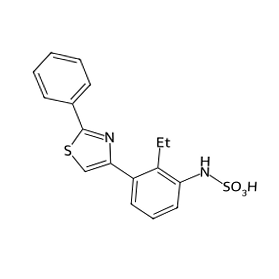 CCc1c(NS(=O)(=O)O)cccc1-c1csc(-c2ccccc2)n1